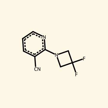 N#Cc1cccnc1N1CC(F)(F)C1